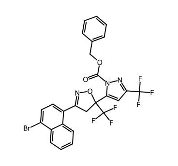 O=C(OCc1ccccc1)n1nc(C(F)(F)F)cc1C1(C(F)(F)F)CC(c2ccc(Br)c3ccccc23)=NO1